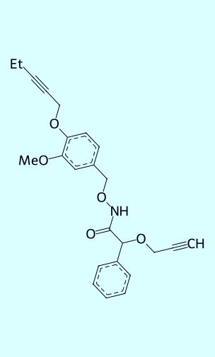 C#CCOC(C(=O)NOCc1ccc(OCC#CCC)c(OC)c1)c1ccccc1